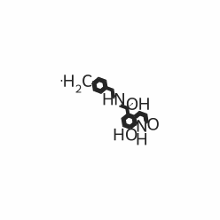 [CH2]c1ccc(CCNC[C@H](O)c2ccc(O)c3[nH]c(=O)ccc23)cc1